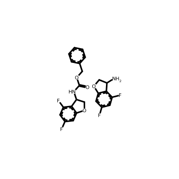 NC1COc2cc(F)cc(F)c21.O=C(NC1COc2cc(F)cc(F)c21)OCc1ccccc1